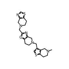 CN1CCc2scc(CN3CCc4oc(CN5CCc6scnc6C5)nc4C3)c2C1